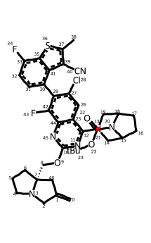 C=C1CN2CCC[C@@]2(COc2nc(N3CC4CCC(C3)N4C(=O)OC(C)(C)C)c3cc(Cl)c(-c4ccc(F)c5sc(C)c(C#N)c45)c(F)c3n2)C1